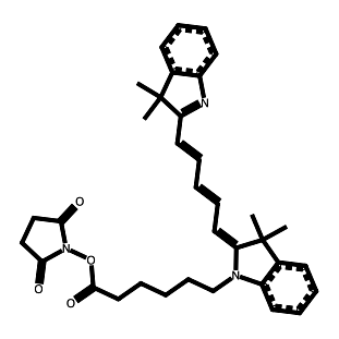 CC1(C)C(/C=C/C=C/C=C2/N(CCCCCC(=O)ON3C(=O)CCC3=O)c3ccccc3C2(C)C)=Nc2ccccc21